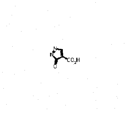 O=C(O)C1=CN=NC1=O